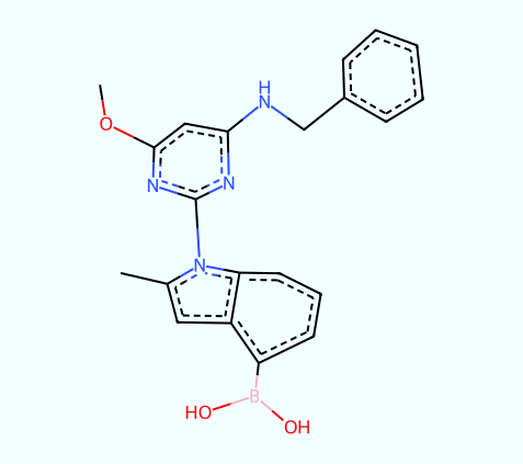 COc1cc(NCc2ccccc2)nc(-n2c(C)cc3c(B(O)O)cccc32)n1